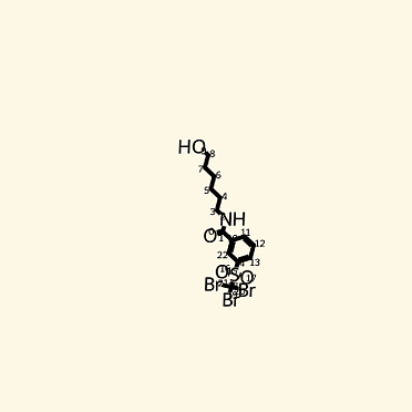 O=C(NCCCCCCO)c1cccc(S(=O)(=O)C(Br)(Br)Br)c1